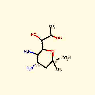 CC(O)C(O)C1O[C@](C)(C(=O)O)C[C@H](N)C1N